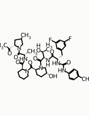 CC(=O)[C@@H]1C[C@@H](C)CN1C(=O)[C@H](C)NC(=O)[C@@H]1CCCCN1C(=O)[C@@H]1CC[C@@H](O)CN1C(=O)[C@@H](NC(=O)[C@H](Cc1cc(F)cc(F)c1)NC(=O)Nc1ccc(C)cc1)[C@H](C)O